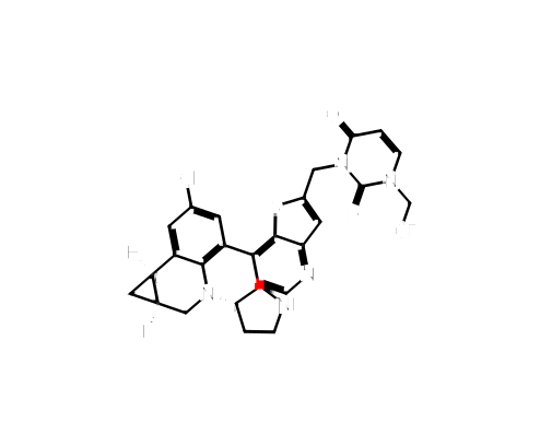 O=c1ccn(CC(F)(F)F)c(=O)n1Cc1cc2nccc(-c3cc(Cl)cc4c3N([C@H]3CCNC3)C[C@H]3C[C@@H]43)c2s1